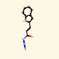 [N-]=[N+]=NC(=O)C=Cc1cc2ccccc2s1